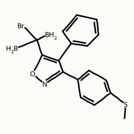 BC(B)(Br)c1onc(-c2ccc(SC)cc2)c1-c1ccccc1